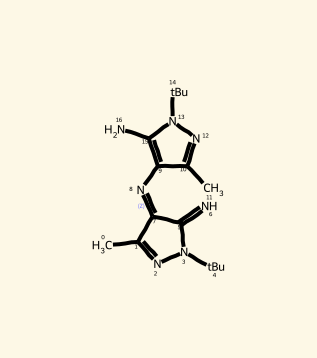 CC1=NN(C(C)(C)C)C(=N)/C1=N\c1c(C)nn(C(C)(C)C)c1N